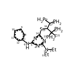 CCN(CC)c1nc(Nc2ccccc2)nc(SC(C(P)P)C(F)(P)P)n1